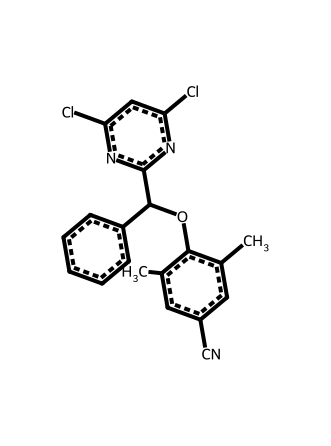 Cc1cc(C#N)cc(C)c1OC(c1ccccc1)c1nc(Cl)cc(Cl)n1